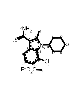 CCOC(C)=O.Cc1c(C(N)=S)c2cccc(Cl)c2n1C1CCCCC1